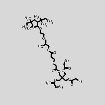 C=C(CS)OCC(COC(=O)CS)(COC(=O)CS)COC(=O)CSCCC(=O)OCC(O)COCCOC(=O)C(CC(C)(CC)CC)C(C)(C)CC